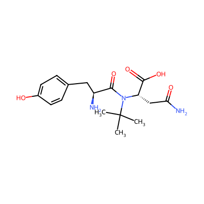 CC(C)(C)N(C(=O)[C@@H](N)Cc1ccc(O)cc1)[C@@H](CC(N)=O)C(=O)O